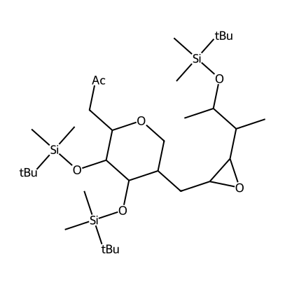 CC(=O)CC1OCC(CC2OC2C(C)C(C)O[Si](C)(C)C(C)(C)C)C(O[Si](C)(C)C(C)(C)C)C1O[Si](C)(C)C(C)(C)C